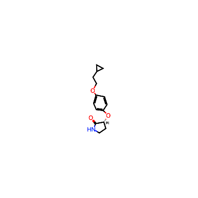 O=C1NCC[C@H]1Oc1ccc(OCCC2CC2)cc1